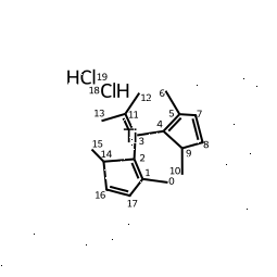 CC1=[C]([Ti]([C]2=C(C)C=CC2C)=[C](C)C)C(C)C=C1.Cl.Cl